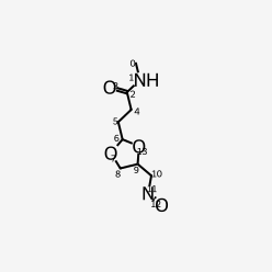 CNC(=O)CCC1OCC(CN=O)O1